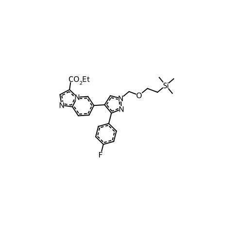 CCOC(=O)c1cnc2ccc(-c3cn(COCC[Si](C)(C)C)nc3-c3ccc(F)cc3)cn12